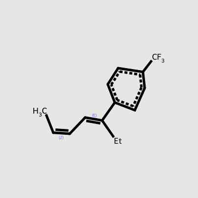 C/C=C\C=C(/CC)c1ccc(C(F)(F)F)cc1